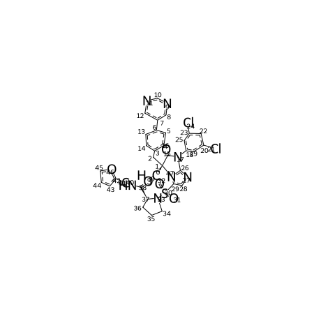 C[C@@]1(Cc2ccc(-c3cncnc3)cc2)C(=O)N(c2cc(Cl)cc(Cl)c2)c2ncc(S(=O)(=O)N3CCC[C@H]3C(=O)NCc3ccco3)n21